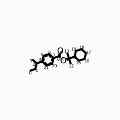 CCC(C)c1ccc(C(=O)OC(C)(C)C2CCCCC2)cc1